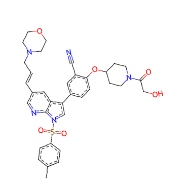 Cc1ccc(S(=O)(=O)n2cc(-c3ccc(OC4CCN(C(=O)CO)CC4)c(C#N)c3)c3cc(C=CCN4CCOCC4)cnc32)cc1